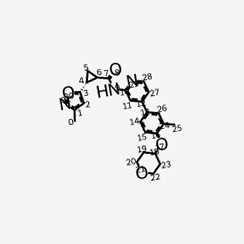 Cc1cc([C@@H]2CC2C(=O)Nc2cc(-c3ccc(OC4CCOCC4)c(C)c3)ccn2)on1